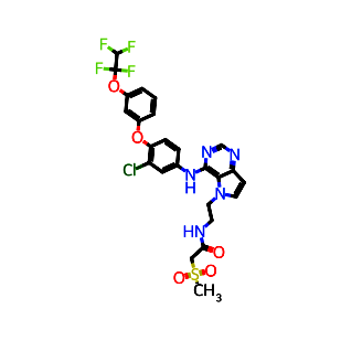 CS(=O)(=O)CC(=O)NCCn1ccc2ncnc(Nc3ccc(Oc4cccc(OC(F)(F)C(F)F)c4)c(Cl)c3)c21